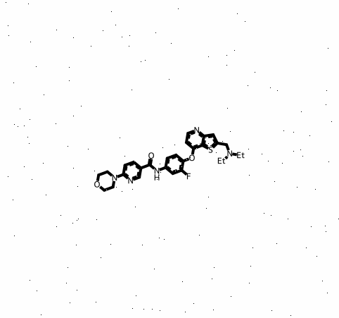 CCN(CC)Cc1cc2nccc(Oc3ccc(NC(=O)c4ccc(N5CCOCC5)nc4)cc3F)c2s1